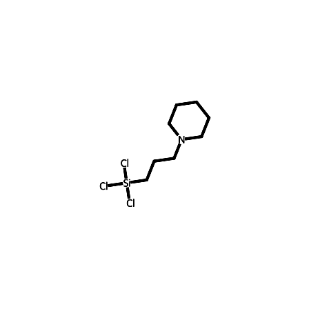 Cl[Si](Cl)(Cl)CCCN1CCCCC1